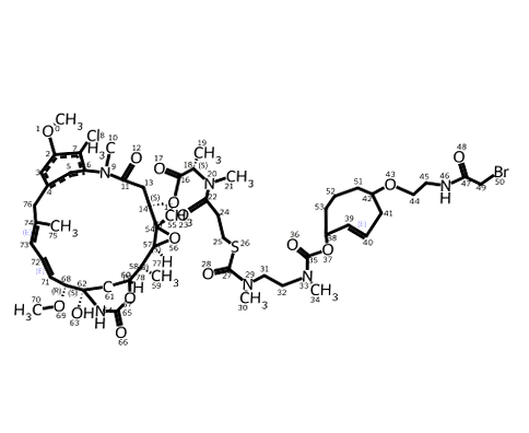 COc1cc2cc(c1Cl)N(C)C(=O)C[C@H](OC(=O)[C@H](C)N(C)C(=O)CCSC(=O)N(C)CCN(C)C(=O)OC1/C=C/CC(OCCNC(=O)CBr)CCC1)[C@]1(C)O[C@H]1[C@H](C)[C@@H]1C[C@@](O)(NC(=O)O1)[C@H](OC)/C=C/C=C(\C)C2